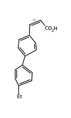 CCc1ccc(-c2ccc(/C=C\C(=O)O)cc2)cc1